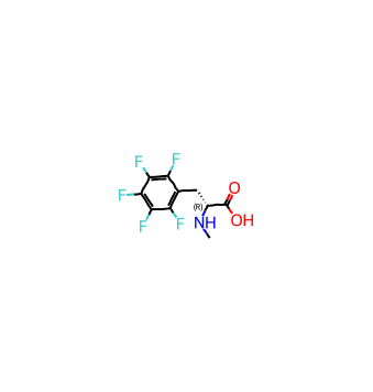 CN[C@H](Cc1c(F)c(F)c(F)c(F)c1F)C(=O)O